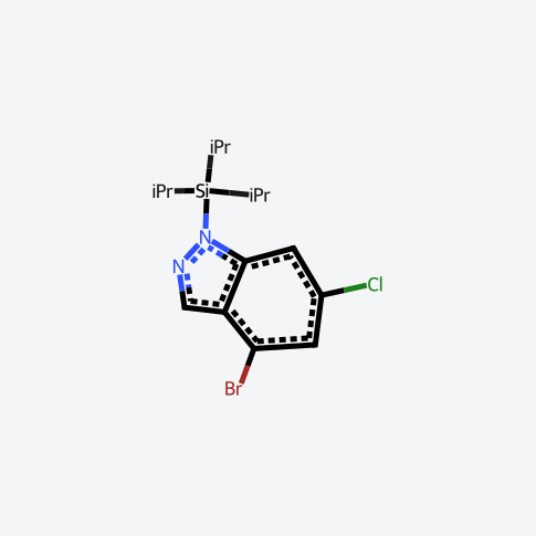 CC(C)[Si](C(C)C)(C(C)C)n1ncc2c(Br)cc(Cl)cc21